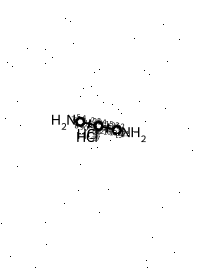 CC(C)(c1ccc(N)cc1)c1ccc(C(C)(C)c2ccc(N)cc2)cc1.Cl.Cl